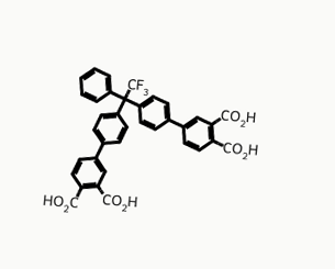 O=C(O)c1ccc(-c2ccc(C(c3ccccc3)(c3ccc(-c4ccc(C(=O)O)c(C(=O)O)c4)cc3)C(F)(F)F)cc2)cc1C(=O)O